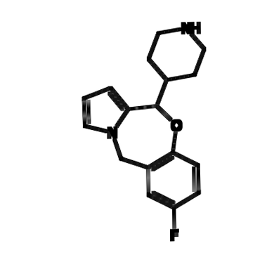 Fc1ccc2c(c1)Cn1cccc1C(C1CCNCC1)O2